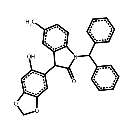 Cc1ccc2c(c1)C(c1cc3c(cc1O)OCO3)C(=O)N2C(c1ccccc1)c1ccccc1